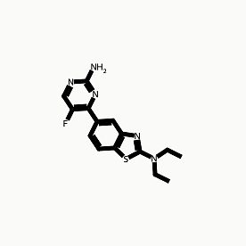 CCN(CC)c1nc2cc(-c3nc(N)ncc3F)ccc2s1